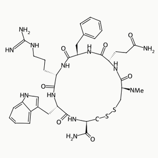 CN[C@H]1CSSC[C@@H](C(N)=O)NC(=O)[C@H](Cc2c[nH]c3ccccc23)NC(=O)[C@H](CCCNC(=N)N)NC(=O)[C@@H](Cc2ccccc2)NC(=O)[C@H](CCC(N)=O)NC1=O